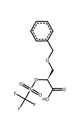 O=C(O)[C@H](COCc1ccccc1)OS(=O)(=O)C(F)(F)F